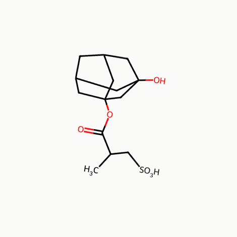 CC(CS(=O)(=O)O)C(=O)OC12CC3CC(CC(O)(C3)C1)C2